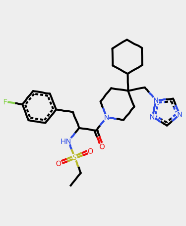 CCS(=O)(=O)NC(Cc1ccc(F)cc1)C(=O)N1CCC(Cn2cncn2)(C2CCCCC2)CC1